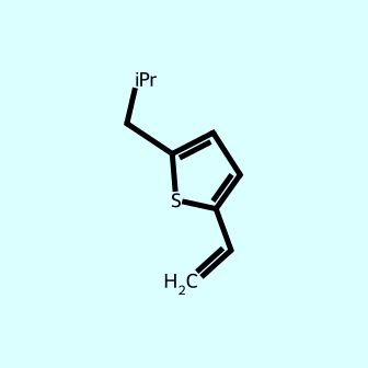 C=Cc1ccc(CC(C)C)s1